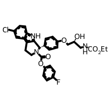 CCOC(=O)NC[C@@H](O)COc1ccc([C@H]2c3[nH]c4ccc(Cl)cc4c3CCN2C(=O)Oc2ccc(F)cc2)cc1